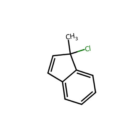 CC1(Cl)C=Cc2ccccc21